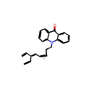 C=CC(C=C)=C/C=C\CCn1c2ccccc2c(=O)c2ccccc21